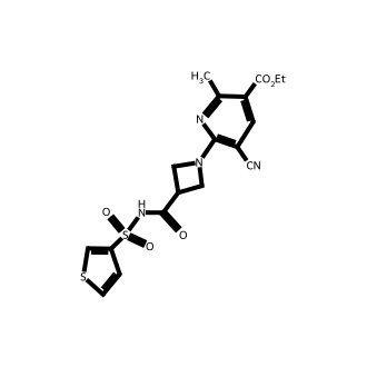 CCOC(=O)c1cc(C#N)c(N2CC(C(=O)NS(=O)(=O)c3ccsc3)C2)nc1C